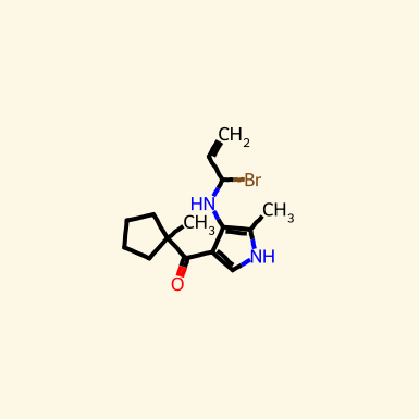 C=CC(Br)Nc1c(C(=O)C2(C)CCCC2)c[nH]c1C